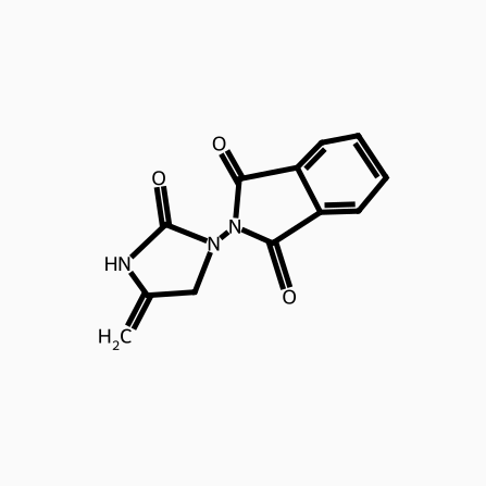 C=C1CN(N2C(=O)c3ccccc3C2=O)C(=O)N1